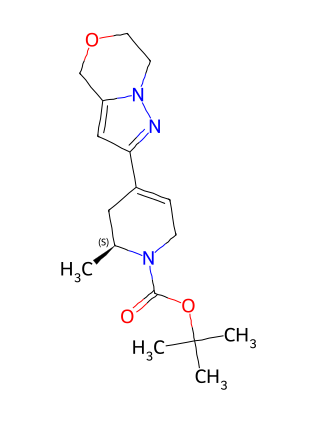 C[C@H]1CC(c2cc3n(n2)CCOC3)=CCN1C(=O)OC(C)(C)C